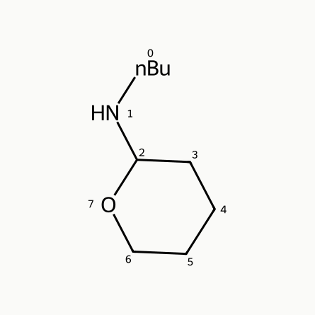 [CH2]CCCNC1CCCCO1